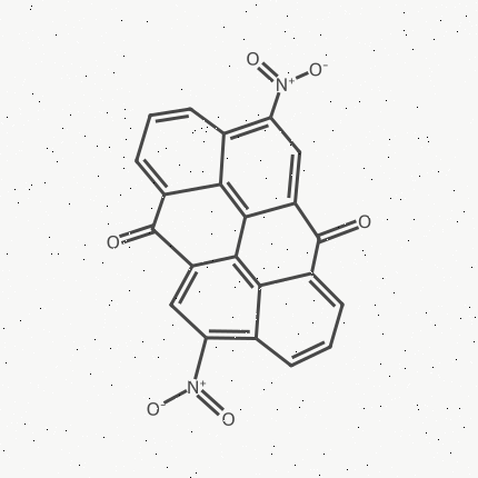 O=c1c2cc([N+](=O)[O-])c3cccc4c(=O)c5cc([N+](=O)[O-])c6cccc1c6c5-c2c34